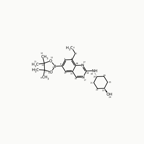 CCc1cc(B2OC(C)(C)C(C)(C)O2)cc2cnc(N[C@H]3CC[C@H](O)CC3)nc12